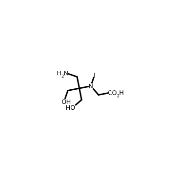 NCC(CO)(CO)N(I)CC(=O)O